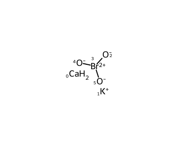 [CaH2].[K+].[O-][Br+2]([O-])[O-]